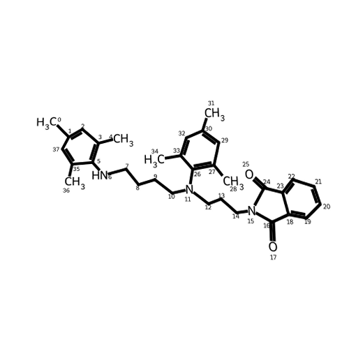 Cc1cc(C)c(NCCCCN(CCCN2C(=O)c3ccccc3C2=O)c2c(C)cc(C)cc2C)c(C)c1